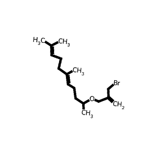 C=C(CBr)COC(C)CC/C=C(\C)CCC=C(C)C